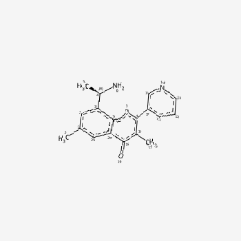 Cc1cc([C@@H](C)N)c2oc(-c3cccnc3)c(C)c(=O)c2c1